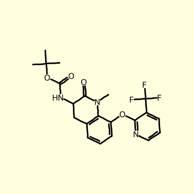 CN1C(=O)C(NC(=O)OC(C)(C)C)Cc2cccc(Oc3ncccc3C(F)(F)F)c21